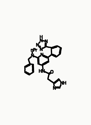 CCCN(Cc1ccccc1)c1cc(NC(=O)Cc2c[nH]cn2)cc(-c2ccccc2-c2nn[nH]n2)n1